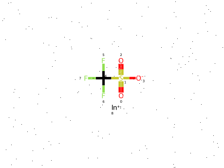 O=S(=O)([O-])C(F)(F)F.[In+]